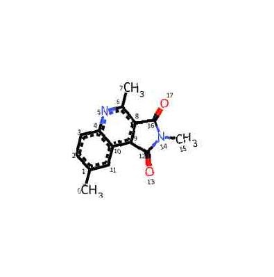 Cc1ccc2nc(C)c3c(c2c1)C(=O)N(C)C3=O